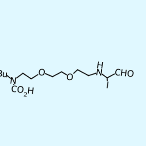 CC(C)(C)N(CCOCCOCCNC(I)C=O)C(=O)O